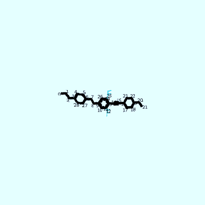 CCCC1CCC(CCc2cc(F)c(C#CC3CCC(CC)CC3)c(F)c2)CC1